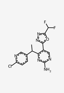 CC(c1ccc(Cl)nc1)c1nc(N)ncc1-c1nnc(C(F)F)o1